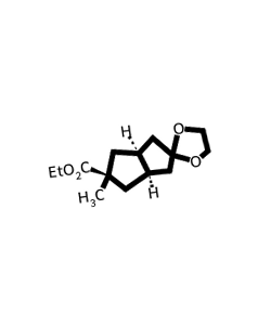 CCOC(=O)[C@@]1(C)C[C@H]2CC3(C[C@H]2C1)OCCO3